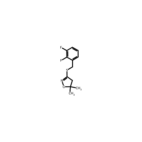 CC1(C)CC(SCc2cccc(F)c2F)=NO1